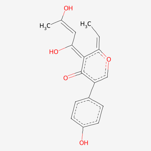 C/C=c1/occ(-c2ccc(O)cc2)c(=O)/c1=C(O)/C=C(\C)O